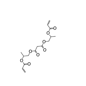 C=CC(=O)OC(C)COC(=O)CC(=O)OCC(C)OC(=O)C=C